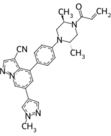 C=CC(=O)N1C[C@H](C)N(c2ccc(-c3cc(-c4cnn(C)c4)cn4ncc(C#N)c34)cc2)C[C@H]1C